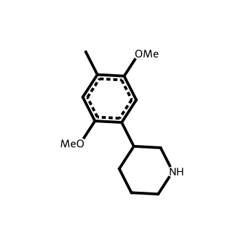 COc1cc(C2CCCNC2)c(OC)cc1C